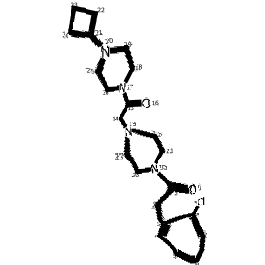 O=C(Cc1ccccc1Cl)N1CCN(CC(=O)N2CCN(C3CCC3)CC2)CC1